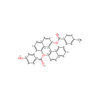 N#Cc1ccc(C(=O)Oc2ccc3ccccc3c2-c2c(OC(=O)c3ccc(O)cc3)ccc3ccccc23)cc1